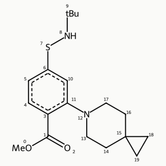 COC(=O)c1ccc(SNC(C)(C)C)cc1N1CCC2(CC1)CC2